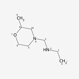 [CH2]CNCN1CCOC(C)C1